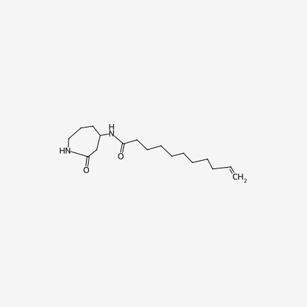 C=CCCCCCCCCC(=O)NC1CCCNC(=O)C1